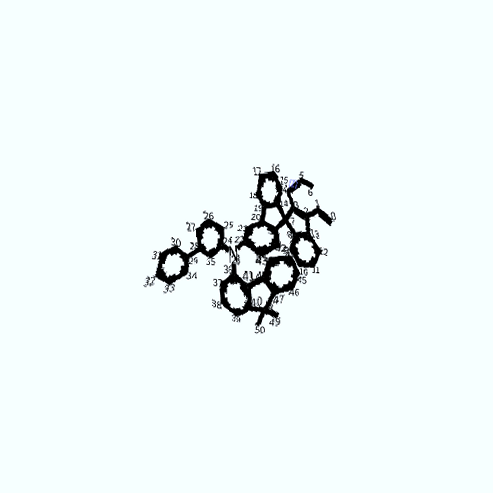 C=CC1=C(/C=C\C)C2(c3ccccc31)c1ccccc1-c1cc(N(c3cccc(-c4ccccc4)c3)c3cccc4c3-c3ccccc3C4(C)C)ccc12